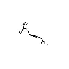 CCCC(=O)OCC#CCO